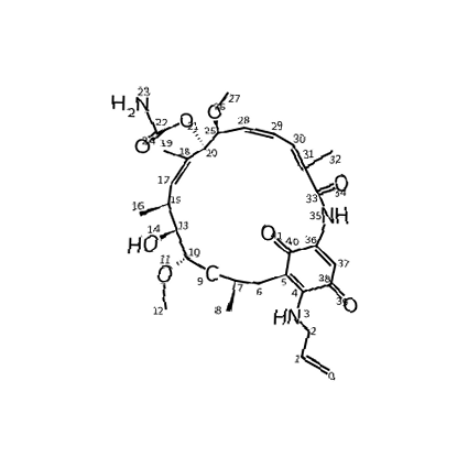 C=CCNC1=C2C[C@@H](C)C[C@H](OC)[C@@H](O)[C@@H](C)C=C(C)[C@H](OC(N)=O)[C@@H](OC)C=CC=C(C)C(=O)NC(=CC1=O)C2=O